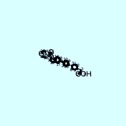 O=C(O)C[C@H]1CC[C@H](c2ccc(-c3ccc4c(c3)CCN4C(=O)N3CCOCC3)cc2)CC1